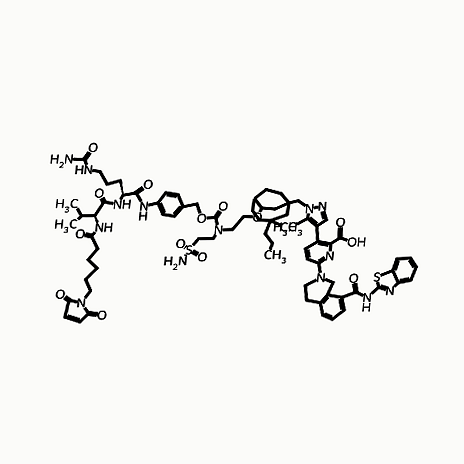 CCCC1(C)CCC2CCC(Cn3ncc(-c4ccc(N5CCc6cccc(C(=O)Nc7nc8ccccc8s7)c6C5)nc4C(=O)O)c3C)(CC2OCCN(CCS(N)(=O)=O)C(=O)OCc2ccc(NC(=O)[C@H](CCCNC(N)=O)NC(=O)[C@@H](NC(=O)CCCCCN3C(=O)C=CC3=O)C(C)C)cc2)C1